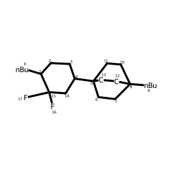 CCCCC1CCC(C23CCC(CCCC)(CC2)CC3)CC1(F)F